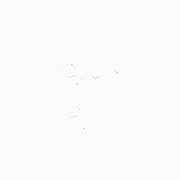 CC(C)(C)OC(=O)N1CCC(C(ON=C2CCNCC2)S(=O)(=O)c2ccc(OC(F)(F)F)cc2)CC1